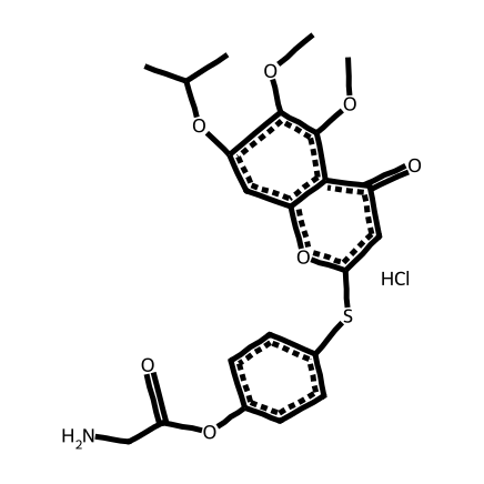 COc1c(OC(C)C)cc2oc(Sc3ccc(OC(=O)CN)cc3)cc(=O)c2c1OC.Cl